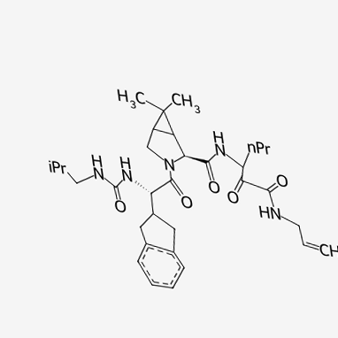 C=CCNC(=O)C(=O)C(CCC)NC(=O)[C@@H]1C2C(CN1C(=O)[C@@H](NC(=O)NCC(C)C)C1Cc3ccccc3C1)C2(C)C